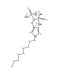 CCCCCCCCCn1cc[n+](CC(P(=O)(O)O)P(=O)(O)O)c1